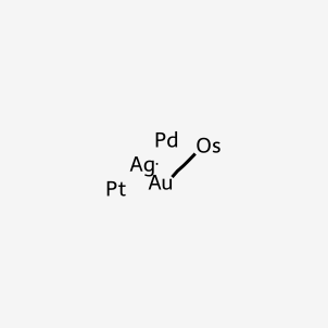 [Ag].[Os][Au].[Pd].[Pt]